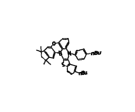 CCCCc1ccc(N2c3cccc4c3B(c3cc5c(cc3O4)C(C)(C)CC5(C)C)c3sc4ccc(CCCC)cc4c32)cc1